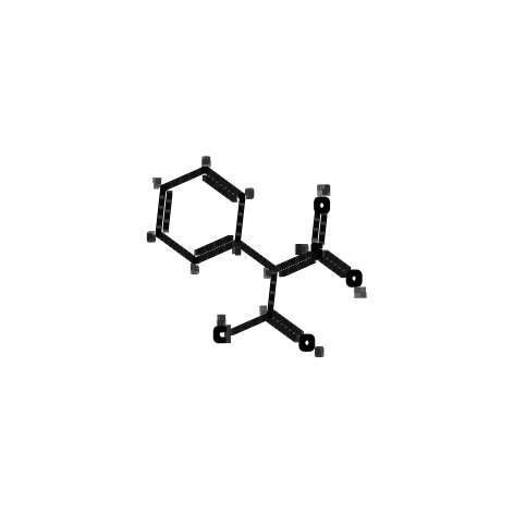 O=C(Cl)C(c1ccccc1)=S(=O)=O